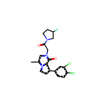 Cc1cn(CC(=O)N2CCC(F)C2)c(=O)c2c(-c3ccc(Cl)c(Cl)c3)ccn12